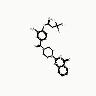 C=C(CC(C)(F)F)Oc1ccc(C(=O)N2CCN(c3nc4ccccc4c(=O)[nH]3)CC2)cc1C